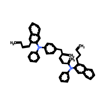 C=C/C=C\c1cc2ccccc2cc1N(c1ccccc1)c1ccc(CC(=C)/C=C\C(=C)N(c2ccccc2)c2cc3ccccc3cc2CCC=C)cc1